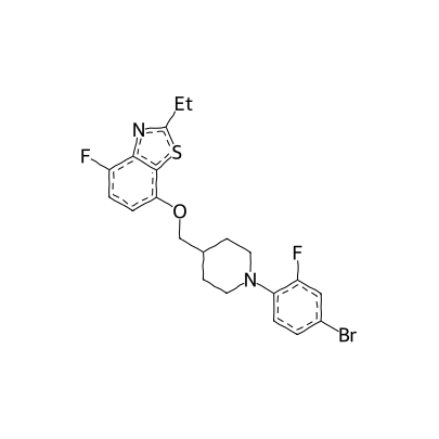 CCc1nc2c(F)ccc(OCC3CCN(c4ccc(Br)cc4F)CC3)c2s1